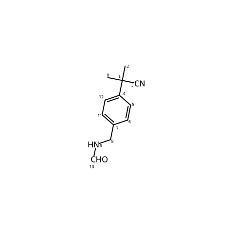 CC(C)(C#N)c1ccc(CNC=O)cc1